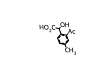 CC(=O)c1cc(C)ccc1C(O)C(=O)O